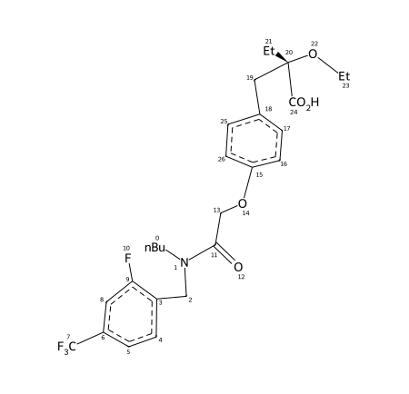 CCCCN(Cc1ccc(C(F)(F)F)cc1F)C(=O)COc1ccc(C[C@](CC)(OCC)C(=O)O)cc1